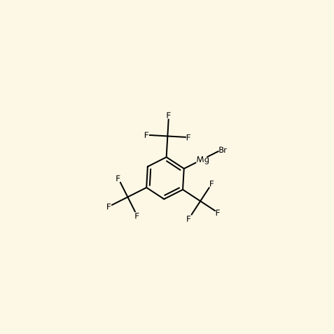 FC(F)(F)c1cc(C(F)(F)F)[c]([Mg][Br])c(C(F)(F)F)c1